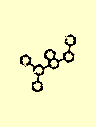 c1ccc(-c2cc(-c3ccc(-c4cccc(-c5cccnc5)c4)c4ccccc34)cc(-c3ccccn3)n2)nc1